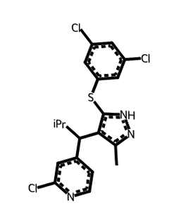 Cc1n[nH]c(Sc2cc(Cl)cc(Cl)c2)c1C(c1ccnc(Cl)c1)C(C)C